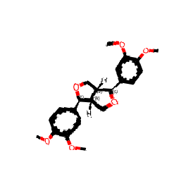 COc1ccc([C@H]2OC[C@H]3[C@@H]2CO[C@@H]3c2ccc(OC)c(OC)c2)cc1OC